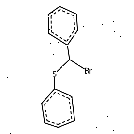 BrC(Sc1ccccc1)c1ccccc1